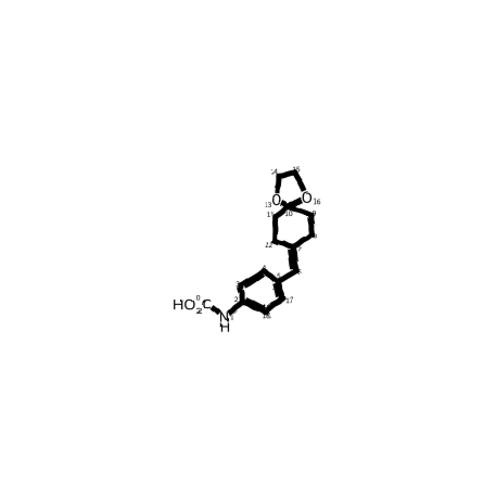 O=C(O)Nc1ccc(C=C2CCC3(CC2)OCCO3)cc1